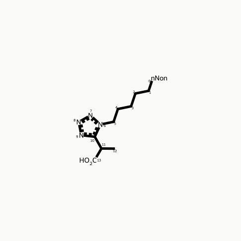 CCCCCCCCCCCCCCn1nnnc1C(C)C(=O)O